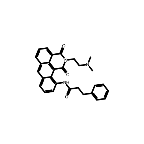 CN(C)CCN1C(=O)c2cccc3cc4cccc(NC(=O)CCc5ccccc5)c4c(c23)C1=O